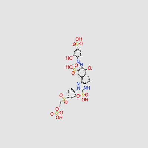 COc1c(/N=N/c2ccc(S(=O)(=O)O)cc2O)c(S(=O)(=O)O)cc2c(/N=N/c3ccc(S(=O)(=O)CCOS(=O)(=O)O)cc3)c(NCS(=O)(=O)O)ccc12